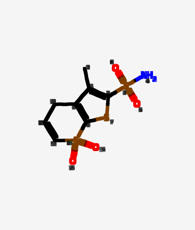 Cc1c(S(N)(=O)=O)sc2c1CC=CS2(=O)=O